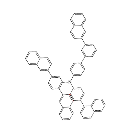 c1cc(-c2ccc(N(c3ccc(-c4cccc5ccccc45)cc3)c3cc(-c4ccc5ccccc5c4)ccc3-c3ccc4ccccc4c3)cc2)cc(-c2ccc3ccccc3c2)c1